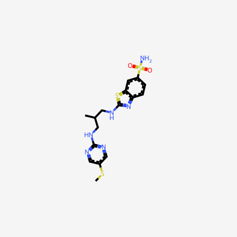 CSc1cnc(NCC(C)CNc2nc3ccc(S(N)(=O)=O)cc3s2)nc1